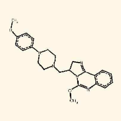 COC1=Nc2ccccc2C2=NCC(CN3CCN(c4ccc(OC)cc4)CC3)N12